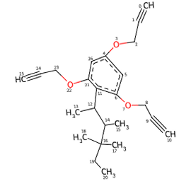 C#CCOc1cc(OCC#C)c(C(C)C(C)C(C)(C)CC)c(OCC#C)c1